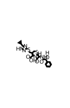 O=C(O)C1=C(CSc2n[nH]c(C3CC3)n2)CS[C@H]2C(NC(=O)C(O)c3ccccc3)C(=O)N12